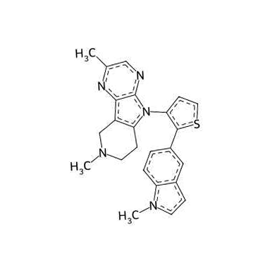 Cc1cnc2c(n1)c1c(n2-c2ccsc2-c2ccc3c(ccn3C)c2)CCN(C)C1